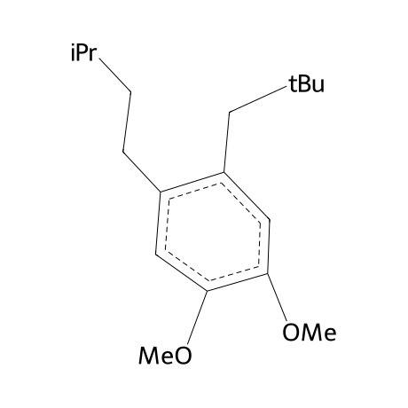 COc1cc(CCC(C)C)c(CC(C)(C)C)cc1OC